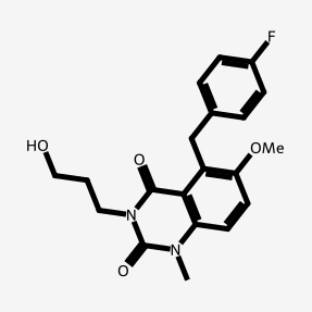 COc1ccc2c(c1Cc1ccc(F)cc1)c(=O)n(CCCO)c(=O)n2C